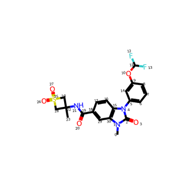 Cn1c(=O)n(-c2cccc(OC(F)F)c2)c2ccc(C(=O)NC3(C)CS(=O)(=O)C3)cc21